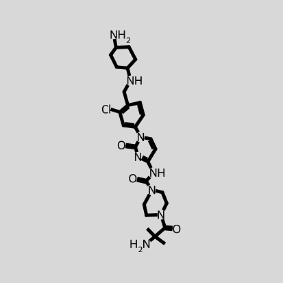 CC(C)(N)C(=O)N1CCN(C(=O)Nc2ccn(-c3ccc(CNC4CCC(N)CC4)c(Cl)c3)c(=O)n2)CC1